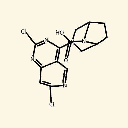 O=C(O)N1C2CCC1CN(c1nc(Cl)nc3cc(Cl)ncc13)C2